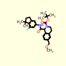 COCc1ccc2c(c1)CCN(C(=O)OC(C)(C)C)C2C(=O)Nc1cc(F)c2c(c1)CCC2(C)C